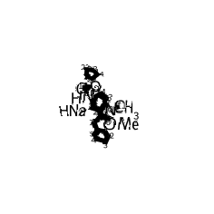 COc1ccccc1Cc1cn(C)c2ccc(NC(=O)OC3CCCC3)cc12.[NaH]